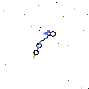 Fc1ccc(N2CCN(CCCCc3[nH]nc4c3CCCC4)CC2)cc1